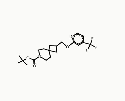 CC(C)(C)OC(=O)N1CCC2(CC1)CC(COc1cc(C(F)(F)F)ccn1)C2